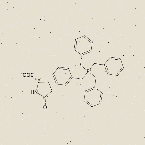 O=C1CC[C@@H](C(=O)[O-])N1.c1ccc(C[P+](Cc2ccccc2)(Cc2ccccc2)Cc2ccccc2)cc1